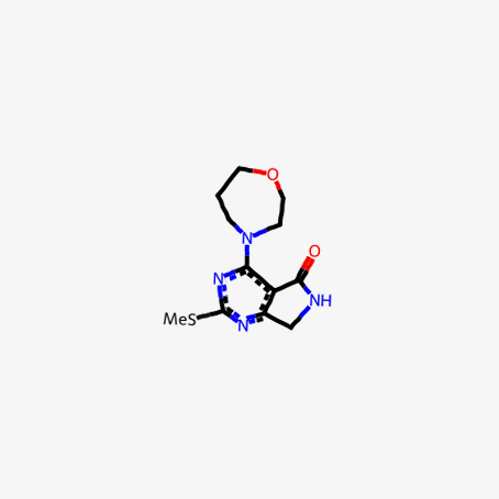 CSc1nc2c(c(N3CCCOCC3)n1)C(=O)NC2